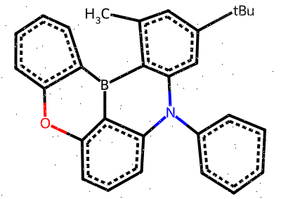 Cc1cc(C(C)(C)C)cc2c1B1c3ccccc3Oc3cccc(c31)N2c1ccccc1